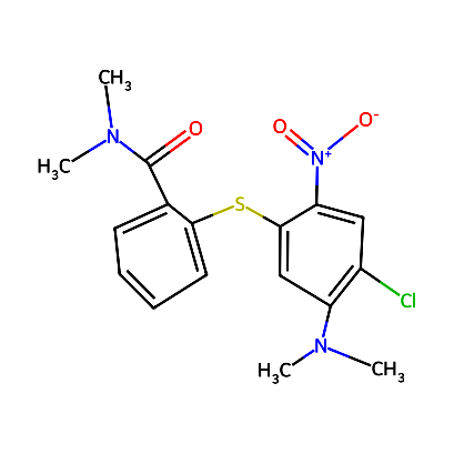 CN(C)C(=O)c1ccccc1Sc1cc(N(C)C)c(Cl)cc1[N+](=O)[O-]